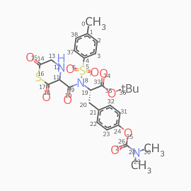 Cc1ccc(S(=O)(=O)N(C(=O)C2NCC(=O)SC2=O)[C@@H](Cc2ccc(OC(=O)N(C)C)cc2)C(=O)OC(C)(C)C)cc1